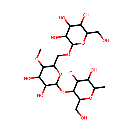 COC1C(COC2OC(CO)C(O)C(O)C2O)OC(OC2C(CO)OC(C)C(O)C2O)C(O)C1O